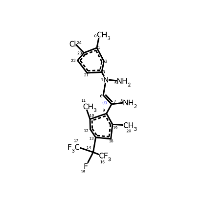 Cc1cc(N(N)/C=C(\N)c2c(C)cc(C(F)(C(F)(F)F)C(F)(F)F)cc2C)ccc1Cl